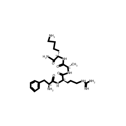 C[C@H](NC(=O)[C@@H](CCCNC(=N)N)NC(=O)[C@@H](N)Cc1ccccc1)C(=O)N[C@@H](CCCCN)C(N)=O